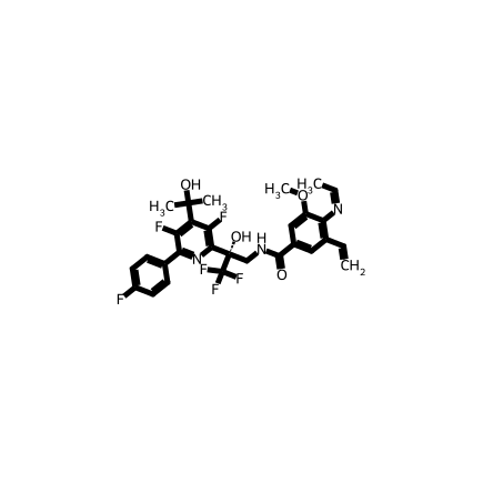 C=Cc1cc(C(=O)NC[C@](O)(c2nc(-c3ccc(F)cc3)c(F)c(C(C)(C)O)c2F)C(F)(F)F)cc(OC)c1/N=C\C